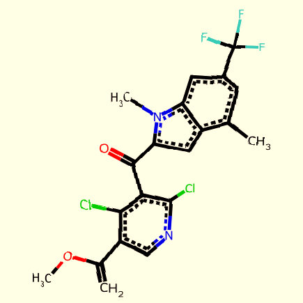 C=C(OC)c1cnc(Cl)c(C(=O)c2cc3c(C)cc(C(F)(F)F)cc3n2C)c1Cl